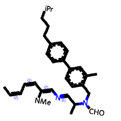 C\C=C/C=C\C(=C\N=C\C(C)N(C=O)Cc1ccc(-c2ccc(CCCC(C)C)cc2)cc1C)NC